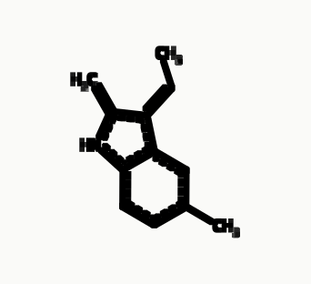 C=c1[nH]c2ccc(C)cc2/c1=C/C